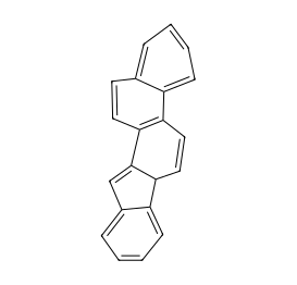 C1=CC2C(=Cc3ccccc32)c2ccc3ccccc3c21